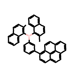 Cc1ccc2ccccc2c1B(c1cccc(-c2ccc3ccc4cccc5ccc2c3c45)c1)c1c(C)ccc2ccccc12